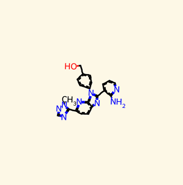 Cn1ncnc1-c1ccc2nc(-c3cccnc3N)n(-c3ccc(CO)cc3)c2n1